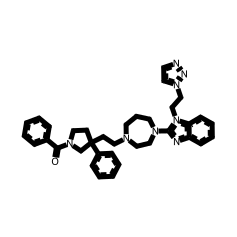 O=C(c1ccccc1)N1CCC(CCN2CCCN(c3nc4ccccc4n3CCn3ccnn3)CC2)(c2ccccc2)C1